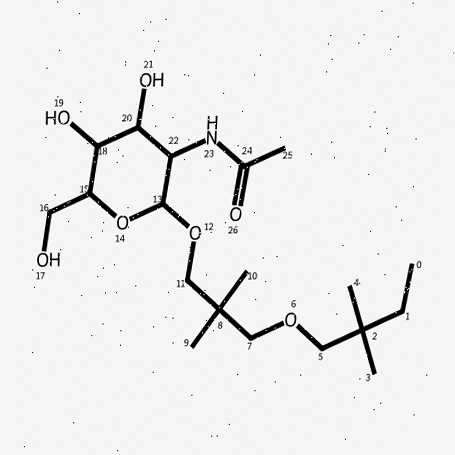 CCC(C)(C)COCC(C)(C)COC1OC(CO)C(O)C(O)C1NC(C)=O